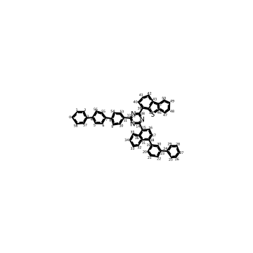 c1ccc(-c2ccc(-c3ccc(-c4nc(-c5ccc(-c6cccc(-c7ccccc7)c6)c6ccccc56)nc(-c5cccc6c5sc5ccccc56)n4)cc3)cc2)cc1